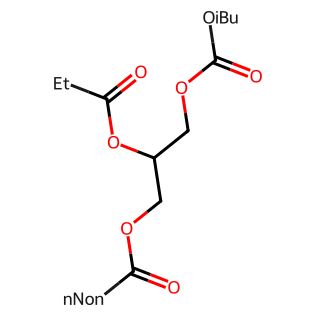 CCCCCCCCCC(=O)OCC(COC(=O)OCC(C)C)OC(=O)CC